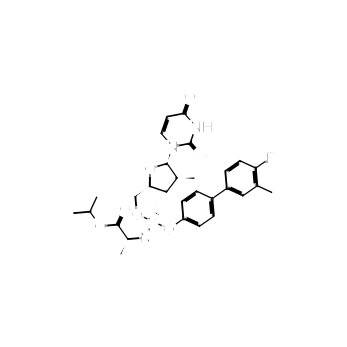 Cc1cc(-c2ccc(OP(=O)(N[C@@H](C)C(=O)OC(C)C)OC[C@@H]3C[C@H](C)[C@H](n4ccc(=O)[nH]c4=O)O3)cc2)ccc1F